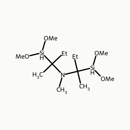 CCC(C)(N(C)C(C)(CC)[SiH](OC)OC)[SiH](OC)OC